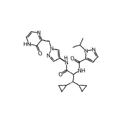 CC(C)n1nccc1C(=O)NC(C(=O)Nc1cnn(Cc2ncc[nH]c2=O)c1)C(C1CC1)C1CC1